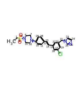 CCS(=O)(=O)N1CCN(c2ccc(/C=C/c3cc(Cl)cc(Cn4ccnc4)c3)cc2)CC1